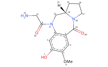 COc1cc2c(cc1O)N(C(=O)CN)C[C@@H]1CCCN1C2=O